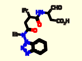 CCN(C(=O)CC(C(=O)NC(C=O)CC(=O)O)C(C)C)n1nnc2ccccc21